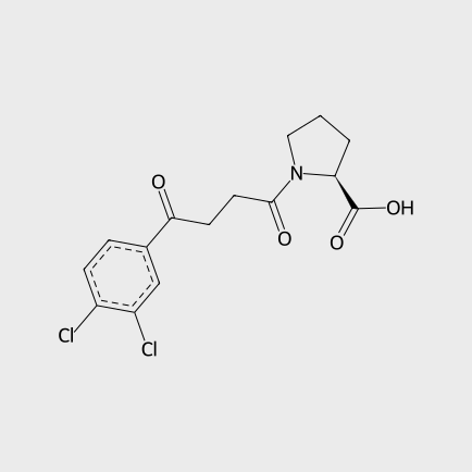 O=C(CCC(=O)N1CCC[C@H]1C(=O)O)c1ccc(Cl)c(Cl)c1